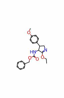 CCOC1=NCC(c2ccc(OC)cc2)C1NC(=O)OCc1ccccc1